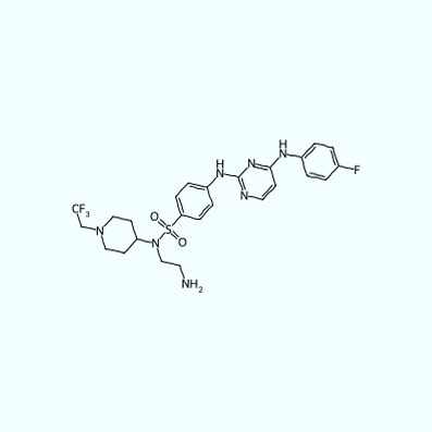 NCCN(C1CCN(CC(F)(F)F)CC1)S(=O)(=O)c1ccc(Nc2nccc(Nc3ccc(F)cc3)n2)cc1